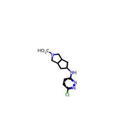 O=C(O)N1CC2CC(Nc3ccc(Cl)nn3)CC2C1